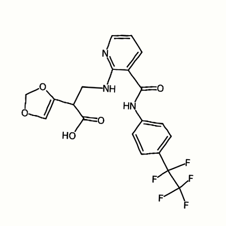 O=C(Nc1ccc(C(F)(F)C(F)(F)F)cc1)c1cccnc1NCC(C(=O)O)C1=COCO1